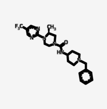 C[C@H]1CN(C(=O)NC2CCN(Cc3ccccc3)CC2)CCN1c1ncc(C(F)(F)F)cn1